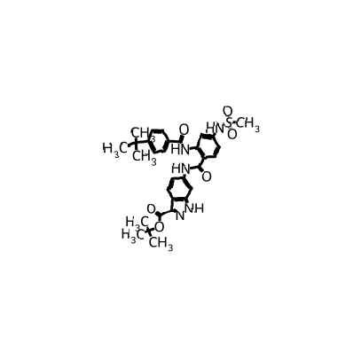 CC(C)(C)OC(=O)c1n[nH]c2cc(NC(=O)c3ccc(NS(C)(=O)=O)cc3NC(=O)c3ccc(C(C)(C)C)cc3)ccc12